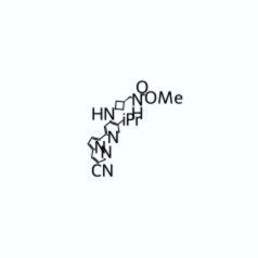 COC(=O)NC[C@H]1C[C@H](Nc2cc(-c3ccc4cc(C#N)cnn34)ncc2C(C)C)C1